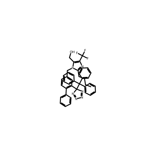 CCCCc1nc(C(F)(F)F)c(CO)n1Cc1ccc(-c2ccccc2)c(C2(C(c3ccccc3)(c3ccccc3)c3ccccc3)N=NN=N2)c1